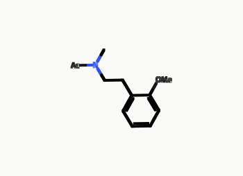 COc1ccccc1CCN(C)C(C)=O